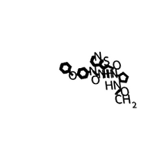 C=CC(=O)N[C@@H]1CCC[C@@H]1NC(=O)c1sc2nccc3c2c1NC(=O)N3c1ccc(Oc2ccccc2)cc1